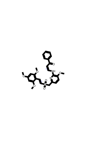 COc1cc(OC)c(/C=C/S(=O)(=O)Cc2ccc(OC)c(N/C=C\C(=O)c3ccccc3)n2)c(OC)c1